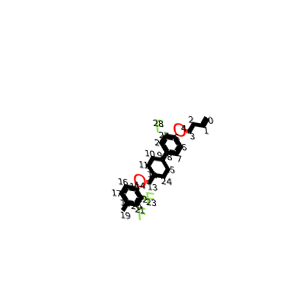 C=CCCOc1ccc(C2CCC(COc3ccc(C)c(F)c3F)CC2)cc1F